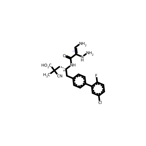 CC(C#N)(C[C@@H](Cc1ccc(-c2cc(Cl)ccc2F)cc1)NC(=O)/C(=C/N)NN)C(=O)O